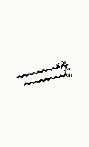 CCCCCCCCCCCCCCCCCC(=O)O.CCCCCCCCCCCCCCCCCC(=O)OC(O)C(C)O